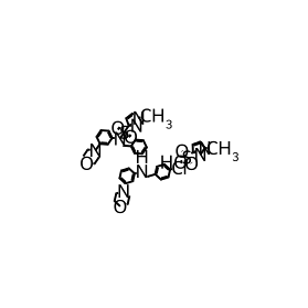 Clc1ccc(CNc2cccc(N3CCOCC3)c2)cc1.Cn1ccc(S(=O)(=O)N(Cc2ccccc2)c2cccc(N3CCOCC3)c2)n1.Cn1ccc(S(=O)(=O)O)n1